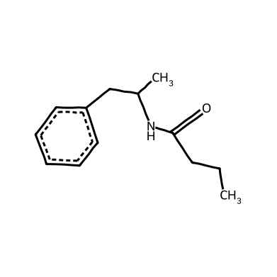 CCCC(=O)NC(C)Cc1ccccc1